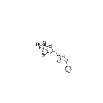 O=C(NCCc1ccc(C(F)(F)P(=O)(O)O)c(Br)c1)[C@@H]1C[C@H]1c1ccccc1